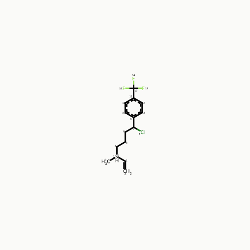 C=C[SiH](C)CCCC(Cl)c1ccc(C(F)(F)F)cc1